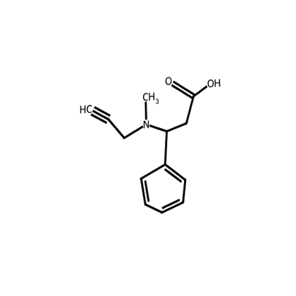 C#CCN(C)C(CC(=O)O)c1ccccc1